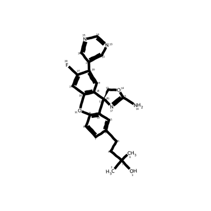 CC(C)(O)CCc1ccc2c(c1)[C@]1(COC(N)=N1)c1cc(-c3cncnc3)c(F)cc1O2